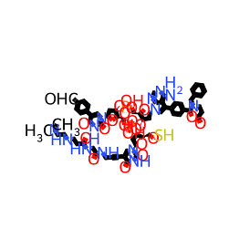 CN(C)CCNCCC(=O)NCC(=O)NCC#Cc1cn([C@H]2C[C@H](OP(=O)(O)OC[C@H]3O[C@@H](n4cc(-c5ccc(C=O)cc5)c(=O)[nH]c4=O)C[C@@H]3OP(=O)(O)OC[C@H]3O[C@@H](n4cc(-c5ccc(C6OC(=O)CCN6Cc6ccccc6)cc5)c5c(N)ncnc54)C[C@@H]3O)[C@@H](COS)O2)c(=O)[nH]c1=O